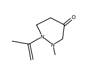 C=C(C)N1CCC(=O)CN1C